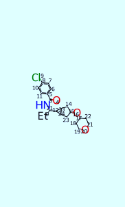 CCC(NC(=O)c1ccc(Cl)cc1)C1C2CC(OC3CCOCC3)CC21